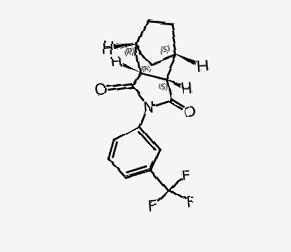 O=C1[C@@H]2[C@@H]3CC[C@@H](C3)[C@@H]2C(=O)N1c1cccc(C(F)(F)F)c1